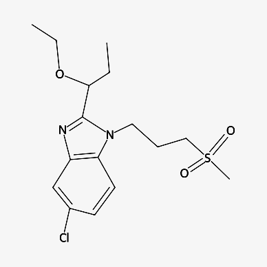 CCOC(CC)c1nc2cc(Cl)ccc2n1CCCS(C)(=O)=O